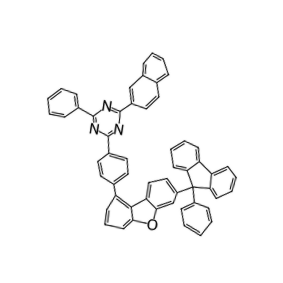 c1ccc(-c2nc(-c3ccc(-c4cccc5oc6cc(C7(c8ccccc8)c8ccccc8-c8ccccc87)ccc6c45)cc3)nc(-c3ccc4ccccc4c3)n2)cc1